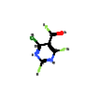 O=C(F)c1c(F)nc(F)nc1Cl